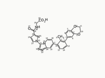 Cc1c(-c2ccc3c(c2)OCCO3)cccc1-c1ccn2c(-n3ccc(C(=O)NCC(=O)O)n3)nnc2c1